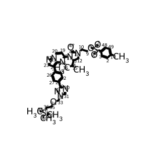 Cc1ccc(S(=O)(=O)OCCN2CC(C(C)C)N(c3ccn4ncc(-c5ccc(-c6ncn(COCC[Si](C)(C)C)n6)cc5)c4n3)C2=O)cc1